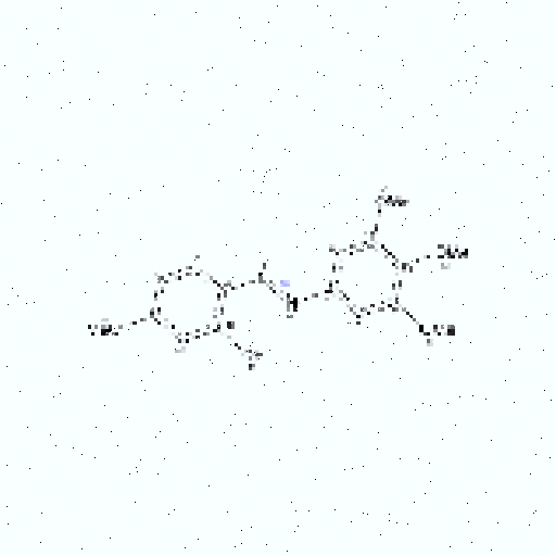 COc1ccc(/N=N/c2cc(OC)c(OC)c(OC)c2)c(O)c1